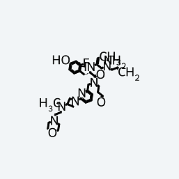 C=CCN(N)CC(=CC)N[C@@H](Cc1ccc(O)cc1F)C(=O)N(CCC=O)Cc1cccc(N2CC(N(C)CCN3CCOCC3)C2)n1